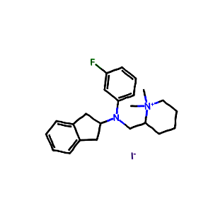 C[N+]1(C)CCCCC1CN(c1cccc(F)c1)C1Cc2ccccc2C1.[I-]